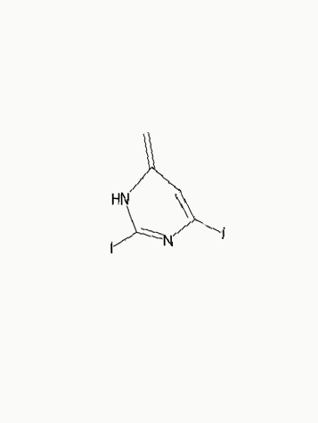 C=C1C=C(I)N=C(I)N1